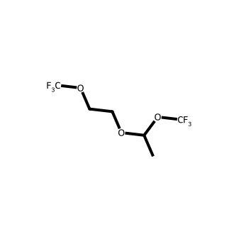 CC(OCCOC(F)(F)F)OC(F)(F)F